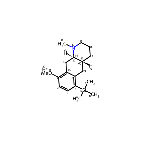 COc1ccc([Si](C)(C)C)c2c1C[C@@H]1[C@H](CCCN1C)C2.[H+]